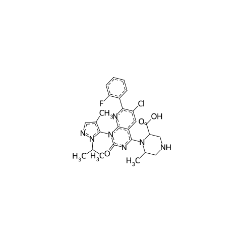 Cc1cnn(C(C)C)c1-n1c(=O)nc(N2C(C)CNCC2C(=O)O)c2cc(Cl)c(-c3ccccc3F)nc21